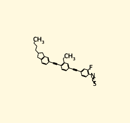 CCCCC1Cc2ccc(C#Cc3ccc(C#Cc4ccc(N=C=S)c(F)c4)cc3CC)cc2C1